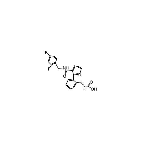 O=C(O)NCc1ccccc1-c1ncccc1C(=O)NCc1ccc(F)cc1F